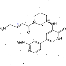 CNc1cc(-c2c[nH]c(=O)c(N[C@@H]3CCCN(C(=O)/C=C/CN)C3)c2)ccn1